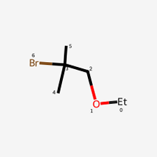 CCOCC(C)(C)Br